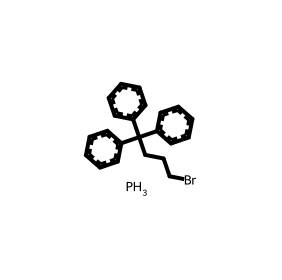 BrCCCC(c1ccccc1)(c1ccccc1)c1ccccc1.P